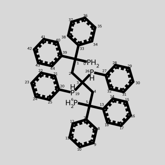 PC(CC(CC(P)(c1ccccc1)c1ccccc1)(Pc1ccccc1)Pc1ccccc1)(c1ccccc1)c1ccccc1